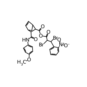 COc1ccc(NC(=O)C2C3C=CC(C3)C2C(=O)OC(=O)C(Br)C(Br)c2ccccc2[N+](=O)[O-])cc1